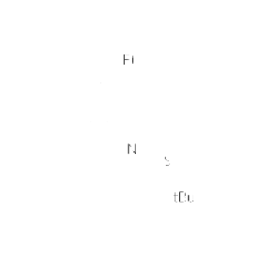 C=C(CC)[C@H]1CN1SC(C)(C)C